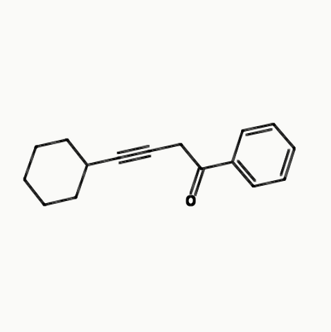 O=C(CC#CC1CCCCC1)c1ccccc1